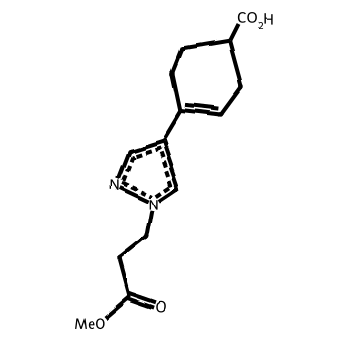 COC(=O)CCn1cc(C2=CCC(C(=O)O)CC2)cn1